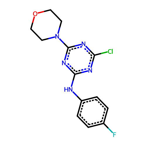 Fc1ccc(Nc2nc(Cl)nc(N3CCOCC3)n2)cc1